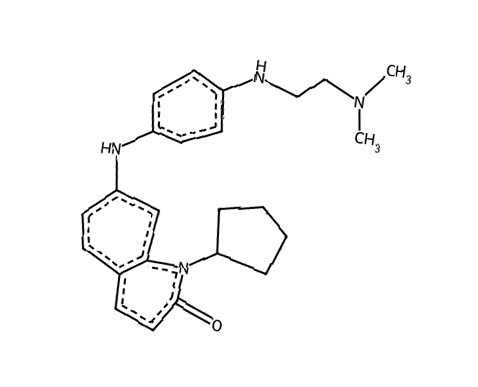 CN(C)CCNc1ccc(Nc2ccc3ccc(=O)n(C4CCCC4)c3c2)cc1